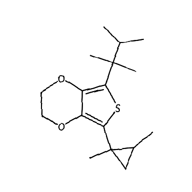 CC(C)C(C)(C)c1sc(C2(C)CC2C)c2c1OCCO2